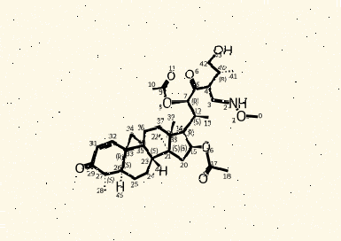 CONCC(C(=O)[C@H](OC(C)=O)[C@@H](C)[C@H]1[C@@H](OC(C)=O)C[C@@]2(C)[C@@H]3CC[C@H]4[C@H](C)C(=O)C=C[C@@]45C[C@@]35CC[C@]12C)[C@@H](C)CO